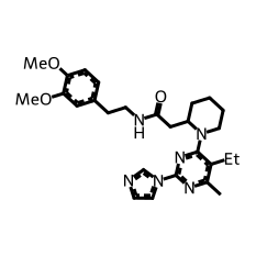 CCc1c(C)nc(-n2ccnc2)nc1N1CCCCC1CC(=O)NCCc1ccc(OC)c(OC)c1